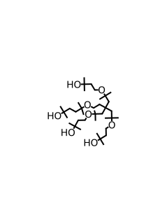 CC(C)(O)CCOC(C)(C)CC(CCOC(C)(C)CCC(C)(C)O)(CC(C)(C)OCCC(C)(C)O)CC(C)(C)OCCC(C)(C)O